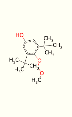 COCOc1c(C(C)(C)C)cc(O)cc1C(C)(C)C